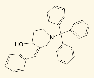 OC1CCN(C(c2ccccc2)(c2ccccc2)c2ccccc2)CC1=Cc1ccccc1